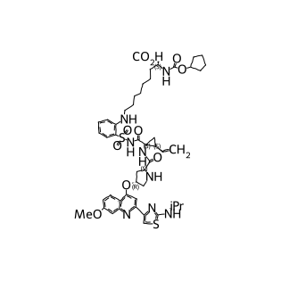 C=C[C@@H]1C[C@@]1(NC(=O)[C@@H]1C[C@@H](Oc2cc(-c3csc(NC(C)C)n3)nc3cc(OC)ccc23)CN1)C(=O)NS(=O)(=O)c1ccccc1NCCCCCCC[C@H](NC(=O)OC1CCCC1)C(=O)O